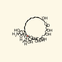 CCNC(=O)[C@H]1[C@@H]2CC(O[C@@H]3OC[C@@H](O)[C@H](N)[C@H]3O)/C=C/C=C/C=C/C=C/C=C/C=C/C=C/[C@H](C)[C@@H](O)C[C@H](C)OC(=O)CC(O)CC(O)CCC(O)[C@H](O)CC(O)CC(O)(C[C@@H]1O)O2